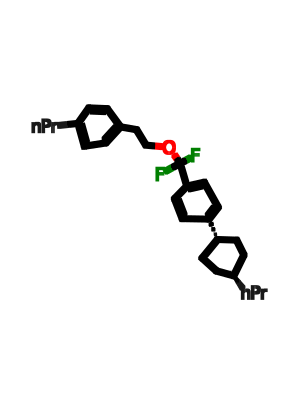 CCCc1ccc(CCOC(F)(F)c2ccc([C@H]3CC[C@H](CCC)CC3)cc2)cc1